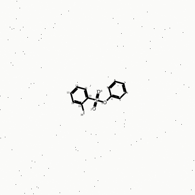 O=S(=O)(Oc1ccccc1)c1ccccc1I